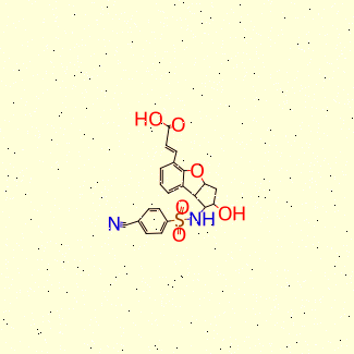 N#Cc1ccc(S(=O)(=O)NC2C(O)CC3Oc4c(/C=C/C(=O)O)cccc4C32)cc1